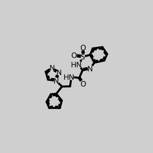 O=C(NCC(c1ccccc1)n1ccnn1)C1=Nc2ccccc2S(=O)(=O)N1